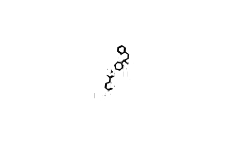 NC(=O)C1(C2CCC(n3cc(-c4ccc(OC(F)(F)F)cn4)cn3)CC2)CCc2ccccc2O1